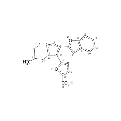 CC1CCc2cc(-c3cc4ccccc4o3)n(-c3ccc(C(=O)O)o3)c2C1